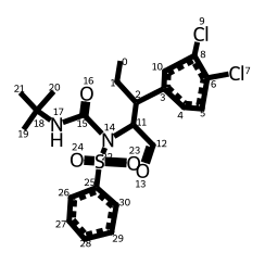 CCC(c1ccc(Cl)c(Cl)c1)C(C=O)N(C(=O)NC(C)(C)C)S(=O)(=O)c1ccccc1